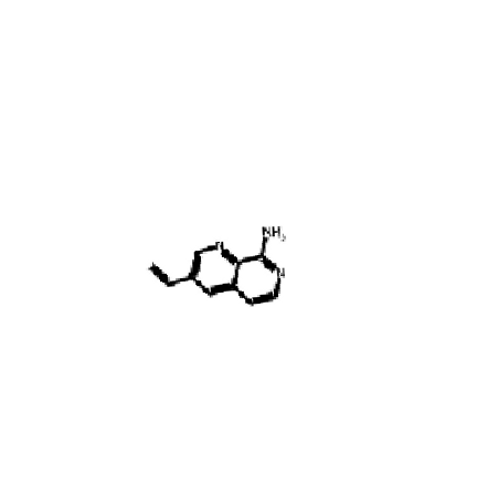 C=Cc1cnc2c(N)nccc2c1